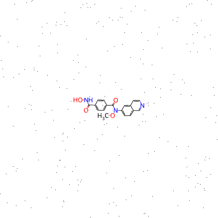 CON(C(=O)c1ccc(C(=O)NO)cc1)c1ccc2cnccc2c1